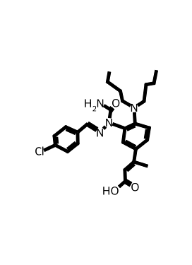 CCCCN(CCCC)c1ccc(/C(C)=C/C(=O)O)cc1N(/N=C/c1ccc(Cl)cc1)C(N)=O